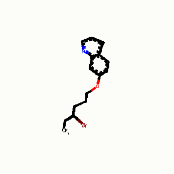 FC(F)(F)CC(Br)CCCOc1ccc2cccnc2c1